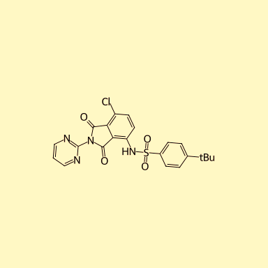 CC(C)(C)c1ccc(S(=O)(=O)Nc2ccc(Cl)c3c2C(=O)N(c2ncccn2)C3=O)cc1